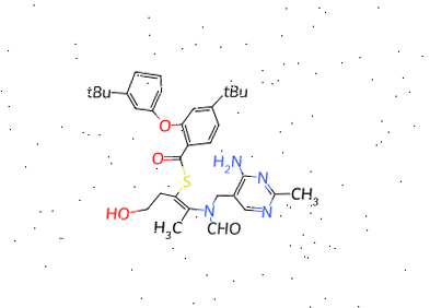 C/C(=C(\CCO)SC(=O)c1ccc(C(C)(C)C)cc1Oc1cccc(C(C)(C)C)c1)N(C=O)Cc1cnc(C)nc1N